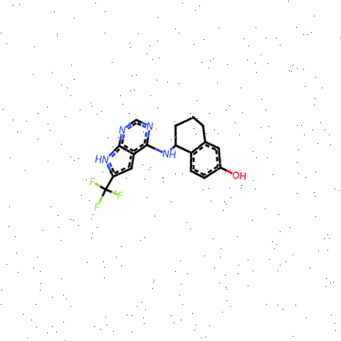 Oc1ccc2c(c1)CCCC2Nc1ncnc2[nH]c(C(F)(F)F)cc12